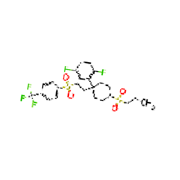 CCCS(=O)(=O)C1CCC(CCS(=O)(=O)c2ccc(C(F)(F)F)cc2)(c2cc(F)ccc2F)CC1